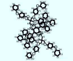 c1ccc(Oc2ccc(OCC(COc3ccc(Oc4ccccc4)cc3)(COc3ccc(Oc4ccccc4)cc3)Cn3nc4c(-c5ccc(N(c6ccccc6)c6ccccc6)cc5)c5n[n+](CC(COc6ccc(Oc7ccccc7)cc6)(COc6ccc(Oc7ccccc7)cc6)COc6ccc(Oc7ccccc7)cc6)[n-]c5c(-c5ccc(N(c6ccccc6)c6ccccc6)cc5)c4n3)cc2)cc1